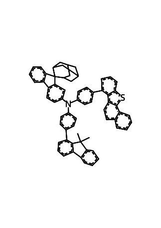 CC1(C)c2ccccc2-c2cccc(-c3ccc(N(c4ccc(-c5cccc6sc7c8ccccc8ccc7c56)cc4)c4ccc5c(c4)C4(c6ccccc6-5)C5CC6CC(C5)CC4C6)cc3)c21